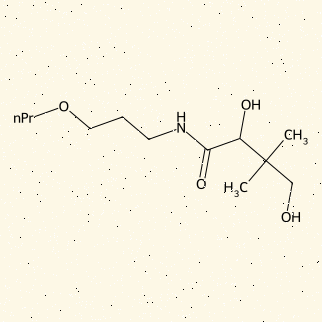 CCCOCCCNC(=O)C(O)C(C)(C)CO